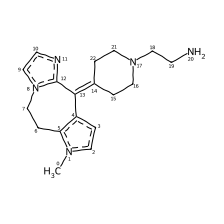 Cn1ccc2c1CCn1ccnc1C2=C1CCN(CCN)CC1